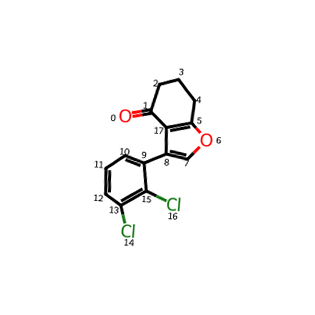 O=C1CCCc2occ(-c3cccc(Cl)c3Cl)c21